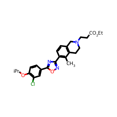 CCOC(=O)CCN1CCc2c(ccc(-c3noc(-c4ccc(OC(C)C)c(Cl)c4)n3)c2C)C1